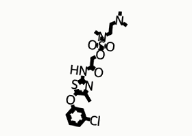 Cc1nc(NC(=O)COS(=O)(=O)N(C)CCN(C)C)sc1Oc1cccc(Cl)c1